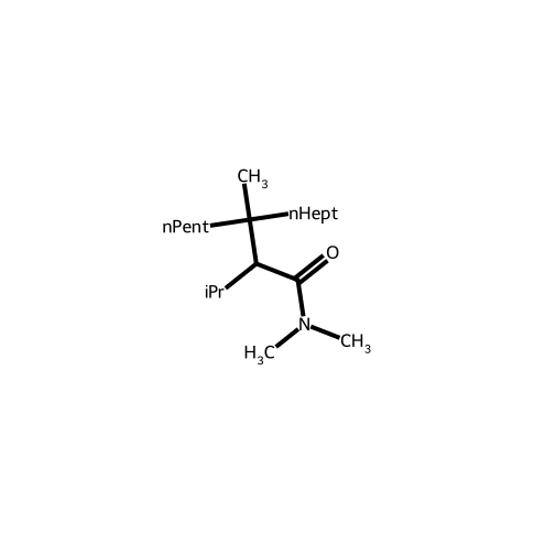 CCCCCCCC(C)(CCCCC)C(C(=O)N(C)C)C(C)C